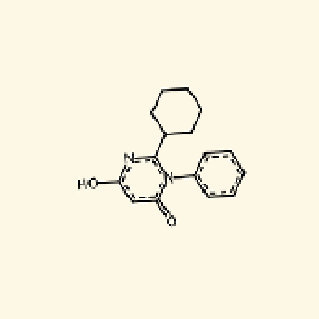 O=c1cc(O)nc(C2CCCCC2)n1-c1ccccc1